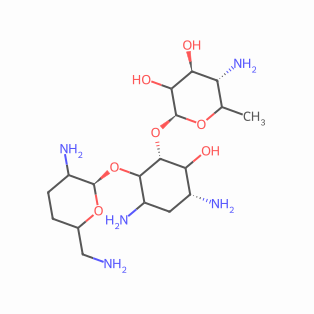 CC1O[C@@H](O[C@H]2C(O[C@H]3OC(CN)CCC3N)C(N)C[C@@H](N)C2O)C(O)[C@@H](O)[C@@H]1N